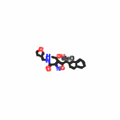 COC(c1ccc2ccccc2c1)c1onc(C(=O)NCC2CCOC2)c1C(C)O